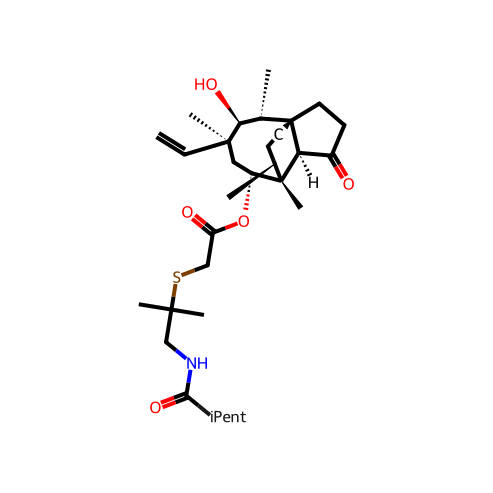 C=C[C@]1(C)C[C@@H](OC(=O)CSC(C)(C)CNC(=O)C(C)CCC)[C@]2(C)[C@H](C)CC[C@]3(CCC(=O)[C@H]32)[C@@H](C)[C@@H]1O